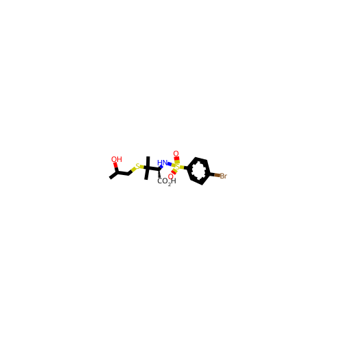 CC(O)CSC(C)(C)[C@@H](NS(=O)(=O)c1ccc(Br)cc1)C(=O)O